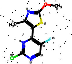 COc1nc(C)c(-c2nc(Cl)ncc2F)s1